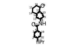 CCCc1ccc(C(=O)Nc2ccc3c(c2)CCCC3=O)cc1